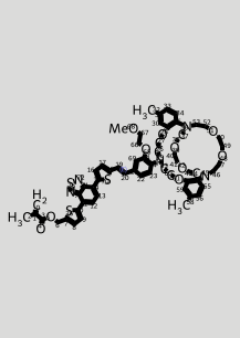 C=C(C)C(=O)OCc1ccc(-c2ccc(-c3ccc(/C=C/c4ccc(N5CCOc6cc(C)ccc6N6CCOCCOCCN(CCOCCOCC6)c6ccc(C)cc6OCC5)c(OCCOC)c4)s3)c3nsnc23)s1